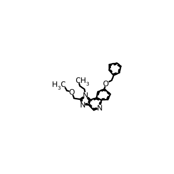 CCCn1c(COCC)nc2cnc3ccc(OCc4ccccc4)cc3c21